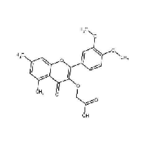 COc1ccc(-c2oc3cc(C)cc(C)c3c(=O)c2OCC(=O)O)cc1OC